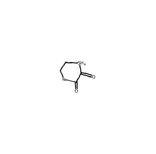 O=C1[N]CC[SH4]C1=O